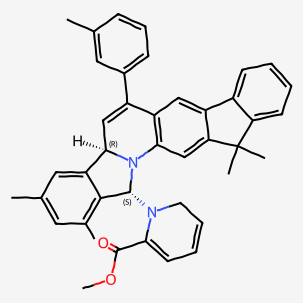 COC(=O)C1=CC=CCN1[C@@H]1c2c(C)cc(C)cc2[C@H]2C=C(c3cccc(C)c3)c3cc4c(cc3N21)C(C)(C)c1ccccc1-4